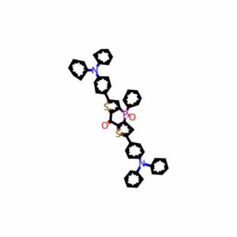 O=C1c2sc(-c3ccc(N(c4ccccc4)c4ccccc4)cc3)cc2P(=O)(c2ccccc2)c2cc(-c3ccc(N(c4ccccc4)c4ccccc4)cc3)sc21